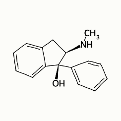 CN[C@@H]1Cc2ccccc2[C@@]1(O)c1ccccc1